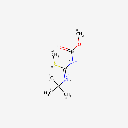 COC(=O)N/C(=N/C(C)(C)C)SC